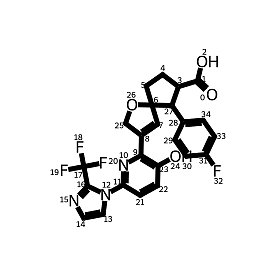 O=C(O)C1CCC2(C=C(c3nc(-n4ccnc4C(F)(F)F)ccc3O)CO2)C1c1ccc(F)cc1